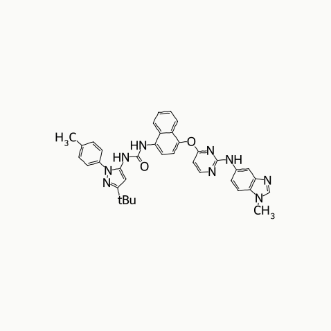 Cc1ccc(-n2nc(C(C)(C)C)cc2NC(=O)Nc2ccc(Oc3ccnc(Nc4ccc5c(c4)ncn5C)n3)c3ccccc23)cc1